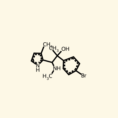 CNC(c1[nH]ccc1C)C(C)(O)c1ccc(Br)cc1